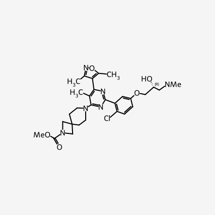 CNC[C@@H](O)COc1ccc(Cl)c(-c2nc(-c3c(C)noc3C)c(C)c(N3CCC4(CC3)CN(C(=O)OC)C4)n2)c1